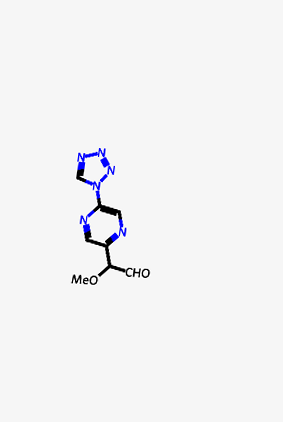 COC(C=O)c1cnc(-n2cnnn2)cn1